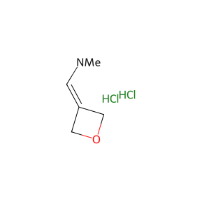 CNC=C1COC1.Cl.Cl